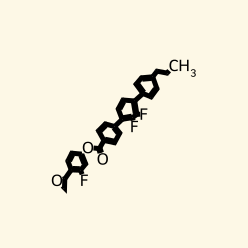 CCCc1ccc(-c2ccc(-c3ccc(C(=O)Oc4ccc(C5CO5)c(F)c4)cc3)c(F)c2F)cc1